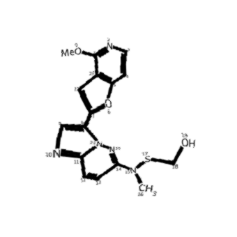 COc1nccc2oc(-c3cnc4ccc(N(C)SCO)nn34)cc12